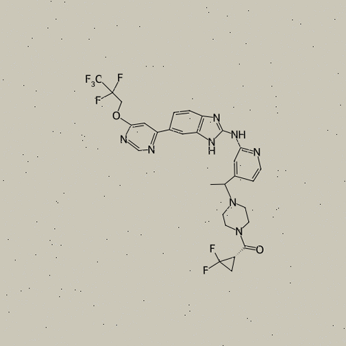 CC(c1ccnc(Nc2nc3ccc(-c4cc(OCC(F)(F)C(F)(F)F)ncn4)cc3[nH]2)c1)N1CCN(C(=O)[C@@H]2CC2(F)F)CC1